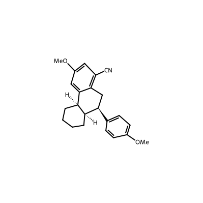 COc1ccc([C@@H]2Cc3c(C#N)cc(OC)cc3[C@@H]3CCCC[C@H]23)cc1